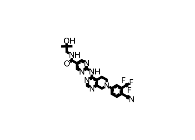 CC(C)(O)CNC(=O)c1cnc(Nc2ncnc3c2CCN(c2ccc(C#N)c(C(F)(F)F)c2)C3)nc1